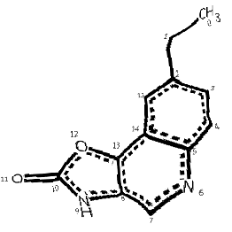 CCc1ccc2ncc3[nH]c(=O)oc3c2c1